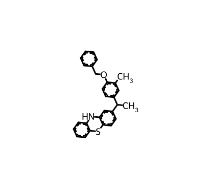 Cc1cc(C(C)c2ccc3c(c2)Nc2ccccc2S3)ccc1OCc1ccccc1